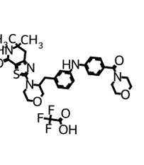 CC1(C)Cc2nc(N3CCOCC3Cc3cccc(Nc4ccc(C(=O)N5CCOCC5)cc4)c3)sc2C(=O)N1.O=C(O)C(F)(F)F